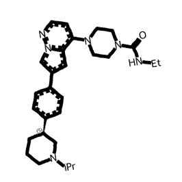 CCNC(=O)N1CCN(c2ccnn3cc(-c4ccc([C@@H]5CCCN(C(C)C)C5)cc4)cc23)CC1